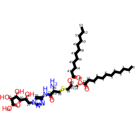 CCCCCCCCCCCC(=O)OC[C@H](CSC[C@@H](N)C(=O)Nc1cn(C[C@H](O)C2OC(O)[C@@H](O)[C@@H]2O)nn1)OC(=O)CCCCCCCCCCC